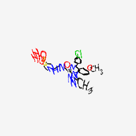 COc1ccc2c(c1)C(c1ccc(Cl)cc1)=N[C@@H](CC(=O)NCCN1CCS(O)(O)CC1)c1nnc(C)n1-2